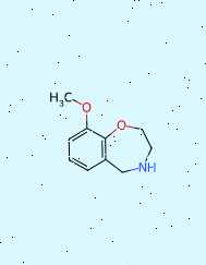 COc1cccc2c1OCCNC2